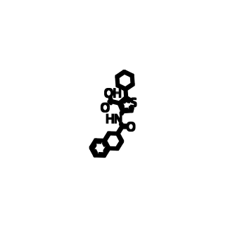 O=C(O)c1c(NC(=O)C2CCc3ccccc3C2)csc1C1CCCCC1